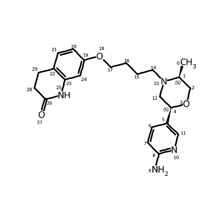 C[C@H]1CO[C@@H](c2ccc(N)nc2)CN1CCCCOc1ccc2c(c1)NC(=O)CC2